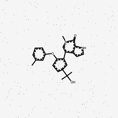 Cc1cccc(Oc2ccc(C(C)(C)O)cc2-c2cn(C)c(=O)c3[nH]ccc23)c1